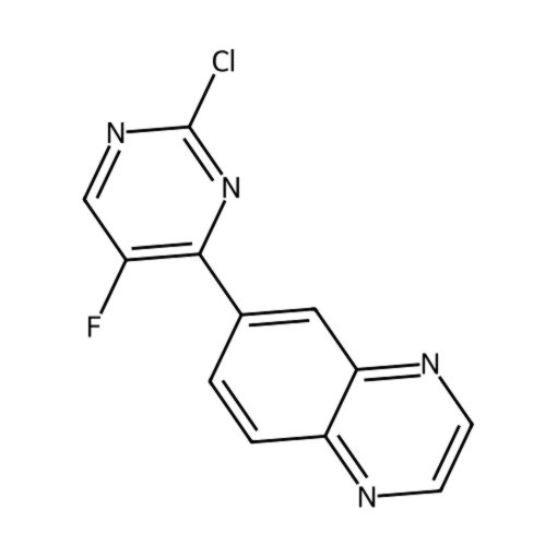 Fc1cnc(Cl)nc1-c1ccc2nccnc2c1